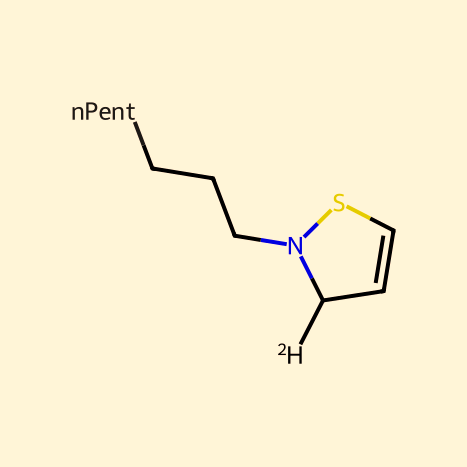 [2H]C1C=CSN1CCCCCCCC